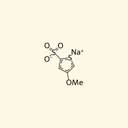 COc1csc(S(=O)(=O)[O-])c1.[Na+]